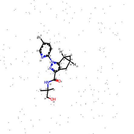 CC(C)c1ccc(-n2nc(C(=O)NC(C)(C)CO)c3c2[C@@H]2C[C@@H]2C3)nc1